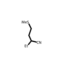 CCC(C#N)CCSC